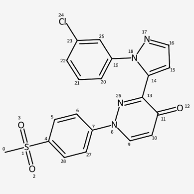 CS(=O)(=O)c1ccc(-n2ccc(=O)c(-c3ccnn3-c3cccc(Cl)c3)n2)cc1